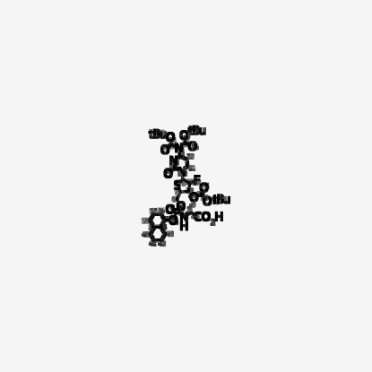 CC(NP(=O)(OC[C@H]1SC(n2ccc(N(C(=O)OC(C)(C)C)C(=O)OC(C)(C)C)nc2=O)[C@@H](F)[C@@H]1OC(=O)OC(C)(C)C)Oc1cccc2ccccc12)C(=O)O